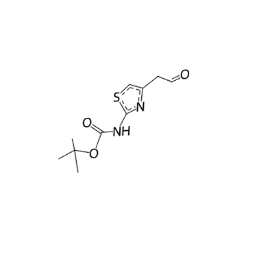 CC(C)(C)OC(=O)Nc1nc(CC=O)cs1